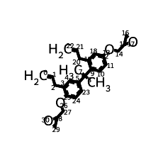 C=CCc1cc(C(C)(C)c2ccc(OCC3CO3)cc2CC=C)ccc1OCC1CO1